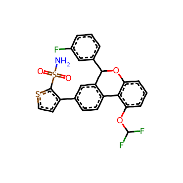 NS(=O)(=O)c1sccc1-c1ccc2c(c1)C(c1cccc(F)c1)Oc1cccc(OC(F)F)c1-2